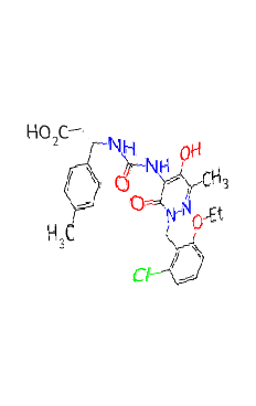 CCOc1cccc(Cl)c1Cn1nc(C)c(O)c(NC(=O)N[C@@H](CC(=O)O)c2ccc(C)cc2)c1=O